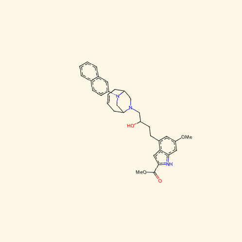 COC(=O)c1cc2c(CCC(O)CN3CC4CC=CCC3CN4c3ccc4ccccc4c3)cc(OC)cc2[nH]1